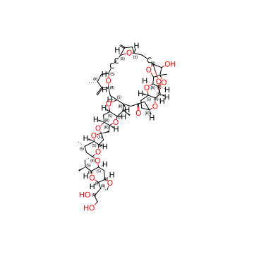 C=C1C[C@@H]2CC[C@]34OC5[C@@H]6O[C@H]7CC[C@H](CC(=O)C[C@@H]8[C@@H](C)[C@@H]9O[C@@H]%10C[C@]%11(C[C@@H]%12O[C@]%13(C[C@H](C)[C@@H]%14O[C@@H]%15[C@@H]([C@@H](O)CO)CO[C@@H]%15C[C@@H]%14O%13)C[C@H](C)[C@@H]%12O%11)O[C@@H]%10C[C@@H]9O[C@H]8C[C@H]8O[C@@H](CC[C@@H]1O2)C[C@@H](C)C8=C)O[C@@H]7[C@H](O3)[C@@H]6OC5(C)C4O